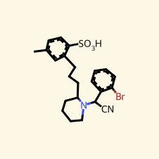 Cc1ccc(S(=O)(=O)O)c(CCCC2CCCCN2C(C#N)c2ccccc2Br)c1